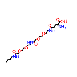 CCCCNC(=O)COCCOCCNC(=O)COCCOCCNC(=O)CC[C@H](N)C(=O)O